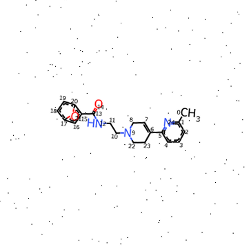 Cc1cccc(C2=CCN(CCNC(=O)c3cc4ccc3o4)CC2)n1